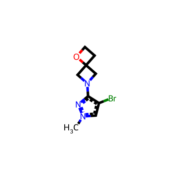 Cn1cc(Br)c(N2CC3(CCO3)C2)n1